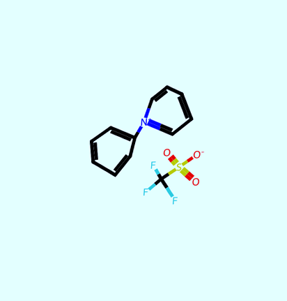 O=S(=O)([O-])C(F)(F)F.c1ccc(-[n+]2ccccc2)cc1